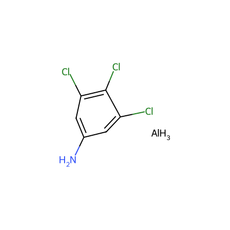 Nc1cc(Cl)c(Cl)c(Cl)c1.[AlH3]